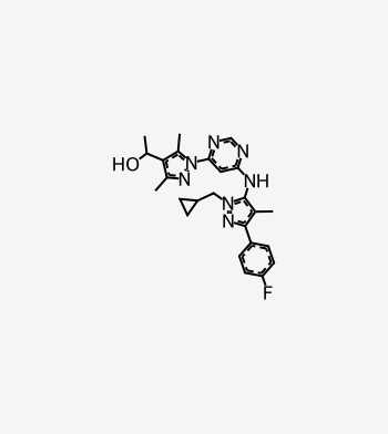 Cc1nn(-c2cc(Nc3c(C)c(-c4ccc(F)cc4)nn3CC3CC3)ncn2)c(C)c1C(C)O